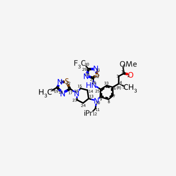 COC(=O)C[C@@H](C)c1ccc(N(CC(C)C)C2CCN(c3nc(C)ns3)CC2)c(Nc2nc(C(F)(F)F)ns2)c1